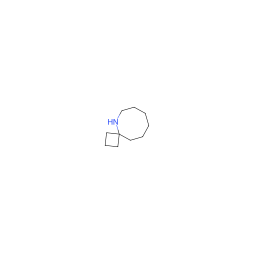 C1CCCC2(CCC2)NCC1